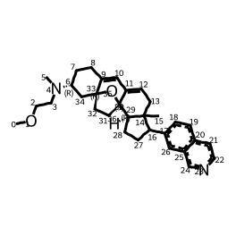 COCCN(C)[C@@H]1CCC2=CC3=CCC4(C)C(c5ccc6ccncc6c5)CC[C@H]4[C@@]34CC[C@]2(C1)O4